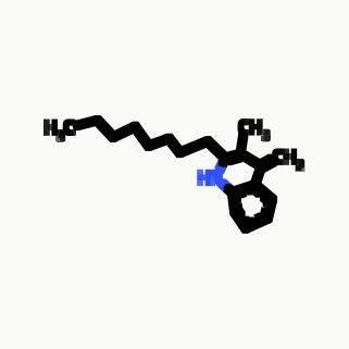 C=C1C(C)=C(CCCCCCCC)Nc2ccccc21